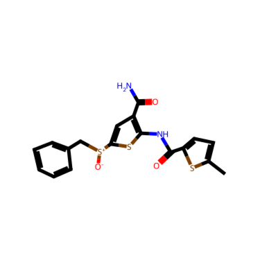 Cc1ccc(C(=O)Nc2sc([S+]([O-])Cc3ccccc3)cc2C(N)=O)s1